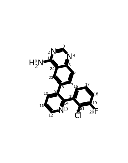 Nc1ncnc2ccc(-c3cccnc3-c3cccc(F)c3Cl)cc12